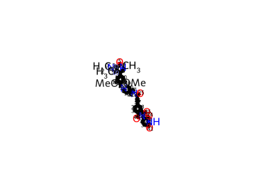 C=N/C=c1/c(=O)n(C)cc(-c2cc(OC)c(CN3CCC4(CC3)CN(C(=O)C#Cc3ccc5c(c3)C(=O)N(C3CCC(=O)NC3=O)C5=O)C4)c(OC)c2)/c1=C/C